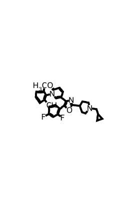 Cc1cccc(C)c1-n1cc(-c2nc(C3CCN(CC4CC4)CC3)oc2-c2ccc(F)cc2F)ccc1=O